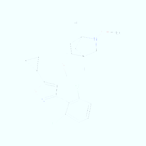 CCON1C[C@@H]2C[C@H]1C[C@H]2OCc1c(-c2c(Cl)cccc2Cl)noc1C1CC1